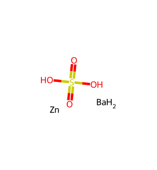 O=S(=O)(O)O.[BaH2].[Zn]